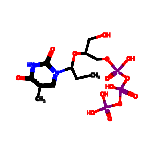 CCC(OC(CO)COP(=O)(O)OP(=O)(O)OP(=O)(O)O)n1cc(C)c(=O)[nH]c1=O